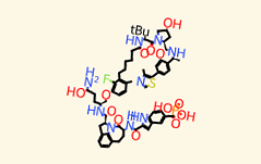 Cc1ccc(OC[C@H](CCC(N)O)NC(=O)[C@@H]2Cc3cccc4c3N2C(=O)[C@@H](NC(=O)c2cc3cc(C(=O)P(=O)(O)O)ccc3[nH]2)CC4)c(F)c1CCCCCC(=O)N[C@H](C(=O)N1C[C@H](O)C[C@H]1C(=O)N[C@@H](C)c1ccc(-c2scnc2C)cc1)C(C)(C)C